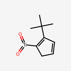 CC(C)(C)C1=[C]([Ti](=[O])=[O])CC=C1